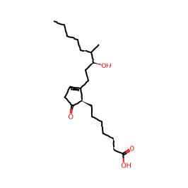 CCCCCC(C)C(O)CCC1=CCC(=O)[C@@H]1CCCCCCC(=O)O